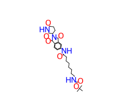 CC(C)(C)OC(=O)NCCCCCCCC(=O)Nc1ccc2c(c1)C(=O)N(C1CCC(=O)NC1=O)C2=O